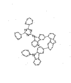 c1ccc(-c2nc(-c3ccccc3)nc(-n3c4ccc(-c5cccc6sc7ccc(-c8ccc9c(c8)c8ccccc8n9-c8ccccc8)cc7c56)cc4c4ncccc43)n2)cc1